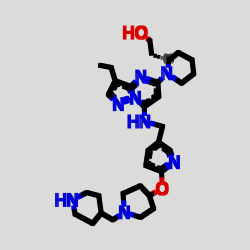 CCc1cnn2c(NCc3ccc(OC4CCN(CC5CCNCC5)CC4)nc3)cc(N3CCCC[C@H]3CCO)nc12